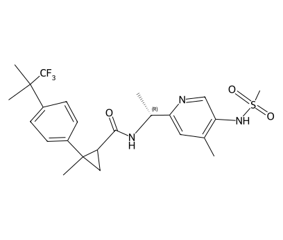 Cc1cc([C@@H](C)NC(=O)C2CC2(C)c2ccc(C(C)(C)C(F)(F)F)cc2)ncc1NS(C)(=O)=O